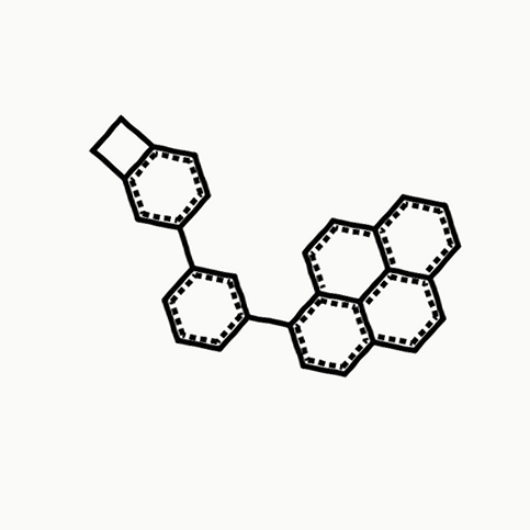 c1cc(-c2ccc3c(c2)CC3)cc(-c2ccc3ccc4cccc5ccc2c3c45)c1